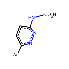 CC(=O)c1ccc(NC(=O)O)nn1